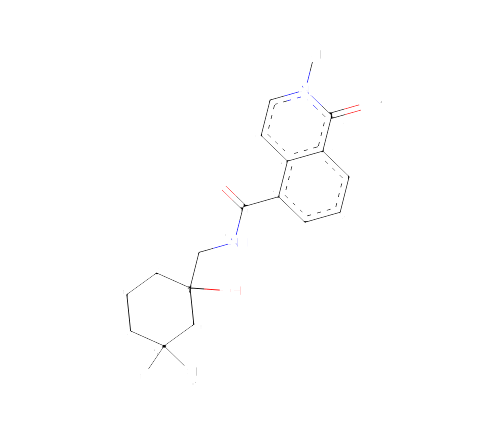 Cn1ccc2c(C(=O)NCC3(O)CCCC(C)(C)C3)cccc2c1=O